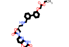 CCOC(=O)COc1cccc(-c2cccc(CNCC[C@H]3CN(c4ccc5c(n4)NC(=O)CO5)C(=O)O3)c2)c1